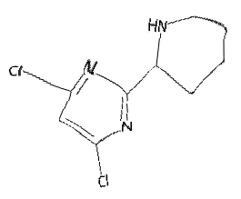 Clc1cc(Cl)nc(C2CCCCN2)n1